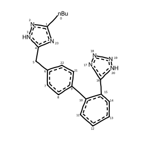 CCCCc1n[nH]c(Cc2ccc(-c3ccccc3-c3nnn[nH]3)cc2)n1